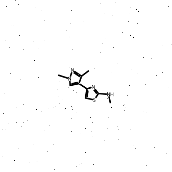 CNc1nc(-c2cn(C)nc2C)cs1